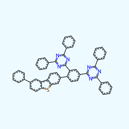 c1ccc(-c2ccc3sc4cc(-c5ccc(-c6nc(-c7ccccc7)nc(-c7ccccc7)n6)cc5-c5nc(-c6ccccc6)nc(-c6ccccc6)n5)ccc4c3c2)cc1